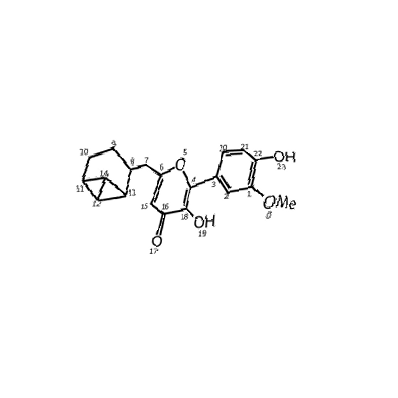 COc1cc(-c2oc(CC3CCC4C5C3C45)cc(=O)c2O)ccc1O